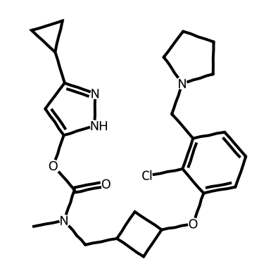 CN(CC1CC(Oc2cccc(CN3CCCC3)c2Cl)C1)C(=O)Oc1cc(C2CC2)n[nH]1